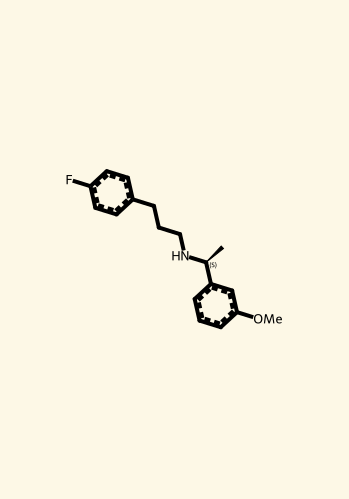 COc1cccc([C@H](C)NCCCc2ccc(F)cc2)c1